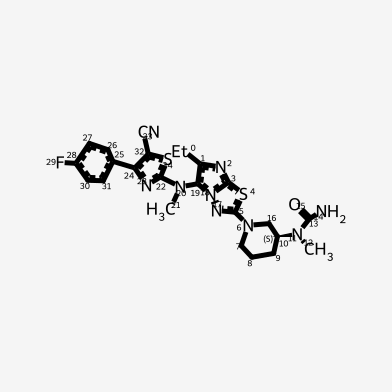 CCc1nc2sc(N3CCC[C@H](N(C)C(N)=O)C3)nn2c1N(C)c1nc(-c2ccc(F)cc2)c(C#N)s1